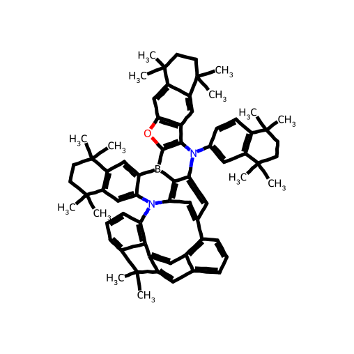 CC1(C)CCC(C)(C)c2cc(N3c4cc5cc6c4B(c4cc7c(cc4N6c4cccc6c4-c4cc8c-5cccc8cc4C6(C)C)C(C)(C)CCC7(C)C)c4oc5cc6c(cc5c43)C(C)(C)CCC6(C)C)ccc21